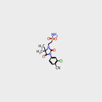 CC1(C)C(=O)N(c2ccc(C#N)c(Cl)c2)C(=O)N1CCS(N)(=O)=O